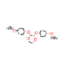 CCCCOc1ccc(OC2OCCOC2Oc2ccc(OCCCC)cc2)cc1